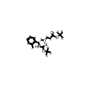 Cc1ccccc1[C@H](COCCC(=O)OC(C)(C)C)NC(=O)OC(C)(C)C